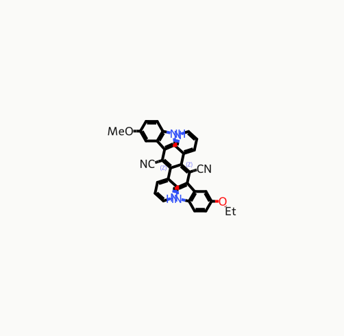 CCOc1ccc2[nH]cc(/C(C#N)=C(\C(=C(\C#N)c3c[nH]c4ccc(OC)cc34)c3cccnc3)c3cccnc3)c2c1